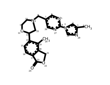 Cc1cn(-c2ncc(CN3CCOC(c4ccc5c(c4C)COC5=O)C3)cn2)cn1